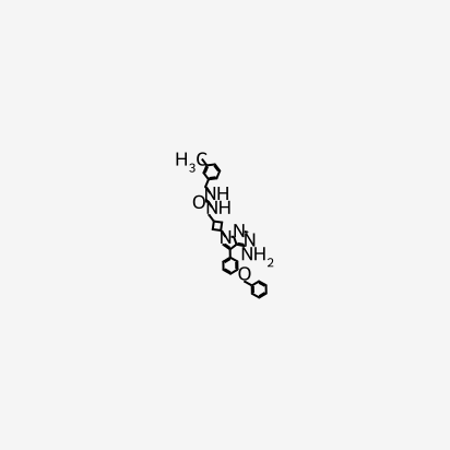 Cc1cccc(CNC(=O)NCC2CC(n3cc(-c4cccc(OCc5ccccc5)c4)c4c(N)ncnc43)C2)c1